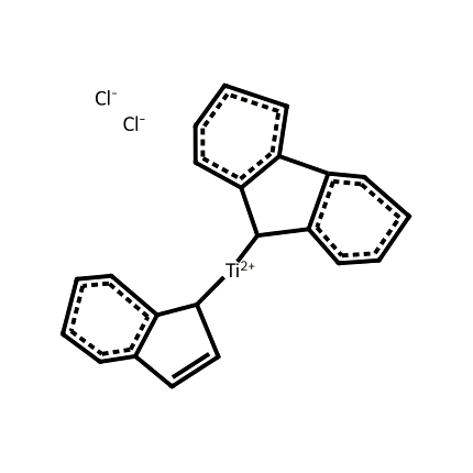 C1=C[CH]([Ti+2][CH]2c3ccccc3-c3ccccc32)c2ccccc21.[Cl-].[Cl-]